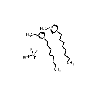 CCCCCCCCn1cc[n+](C)c1.CCCCCCCCn1cc[n+](C)c1.F[B-](F)(F)F.[Br-]